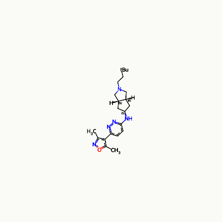 Cc1noc(C)c1-c1ccc(N[C@H]2C[C@@H]3CN(CCC(C)(C)C)C[C@@H]3C2)nn1